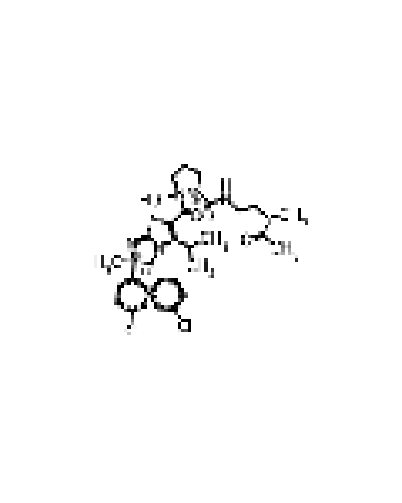 CC(=O)N(C)CCNC(=O)[C@@H]1CCC[N+]1(C)C(=O)C1=C(C(C)C)N2C(=N[C@@](C)(c3ccc(Cl)cc3)[C@H]2c2ccc(Cl)cc2)S1